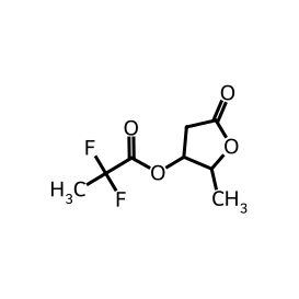 CC1OC(=O)CC1OC(=O)C(C)(F)F